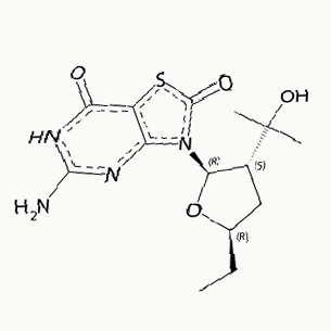 CC[C@@H]1C[C@@H](C(C)(C)O)[C@H](n2c(=O)sc3c(=O)[nH]c(N)nc32)O1